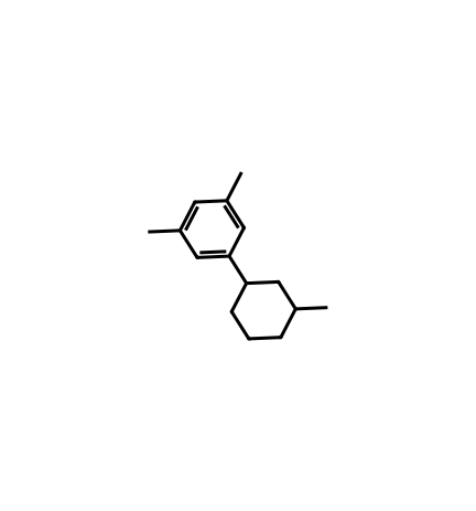 Cc1cc(C)cc(C2CCCC(C)C2)c1